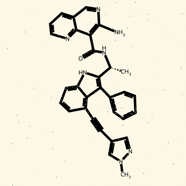 C[C@@H](NC(=O)c1c(N)ncc2cccnc12)c1[nH]c2cccc(C#Cc3cnn(C)c3)c2c1-c1ccccc1